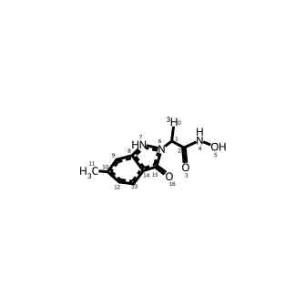 [3H]C(C(=O)NO)n1[nH]c2cc(C)ccc2c1=O